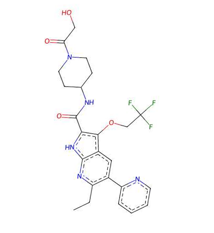 CCc1nc2[nH]c(C(=O)NC3CCN(C(=O)CO)CC3)c(OCC(F)(F)F)c2cc1-c1ccccn1